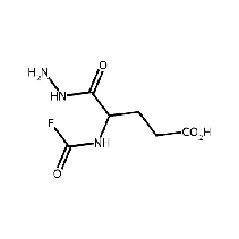 NNC(=O)C(CCC(=O)O)NC(=O)F